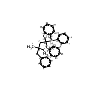 CC(C)(Cc1ccccc1)CC(C)(C)[PH](c1ccccc1)(c1ccccc1)c1ccccc1